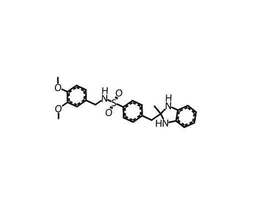 COc1ccc(CNS(=O)(=O)c2ccc(CC3(C)Nc4ccccc4N3)cc2)cc1OC